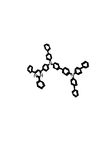 c1ccc(-c2ccc(N(c3ccc(-c4ccccc4)cc3)c3ccc(-c4ccc(N(c5ccc(-c6ccccc6)cc5)c5ccc(-c6cc(-c7ccccc7)nc(-c7ccccc7)n6)cc5)cc4)cc3)cc2)cc1